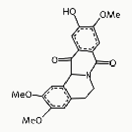 COc1cc2c(cc1O)C(=O)C1c3cc(OC)c(OC)cc3CCN1C2=O